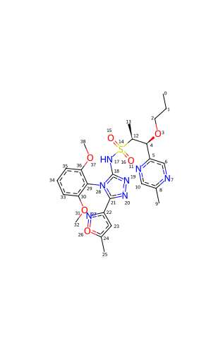 CCCO[C@@H](c1cnc(C)cn1)[C@H](C)S(=O)(=O)Nc1nnc(-c2cc(C)on2)n1-c1c(OC)cccc1OC